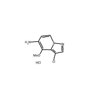 COc1c(N)ccn2ncc(Cl)c12.Cl